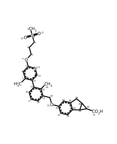 Cc1cc(OCCCS(C)(=O)=O)ncc1-c1cccc(COc2ccc3c(c2)CC2C(C(=O)O)C32)c1C